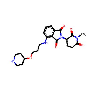 CN1C(=O)CCC(N2C(=O)c3cccc(NCCCOC4CCNCC4)c3C2=O)C1=O